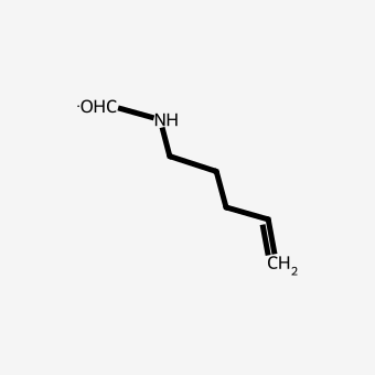 C=CCCCN[C]=O